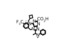 CC(c1nc2nc(C(=O)O)nc(N[C@H](C)C3CCC3)c2n1Cc1ccc(C(F)(F)F)cc1)N(C)c1ccccc1